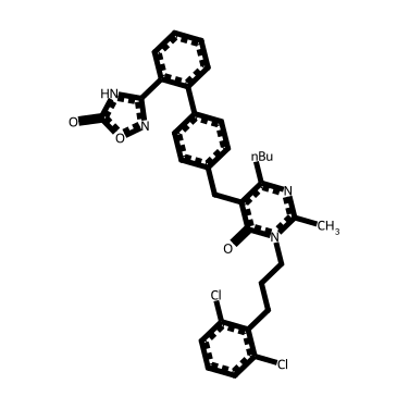 CCCCc1nc(C)n(CCCc2c(Cl)cccc2Cl)c(=O)c1Cc1ccc(-c2ccccc2-c2noc(=O)[nH]2)cc1